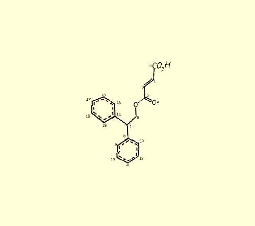 O=C(O)C=CC(=O)OCC(c1ccccc1)c1ccccc1